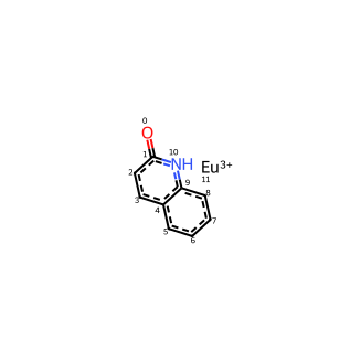 O=c1ccc2ccccc2[nH]1.[Eu+3]